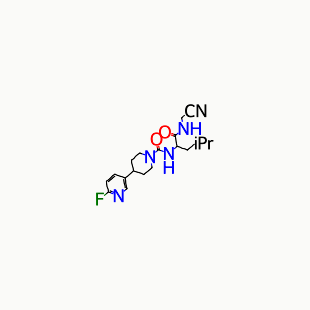 CC(C)CC(NC(=O)N1CCC(c2ccc(F)nc2)CC1)C(=O)NCC#N